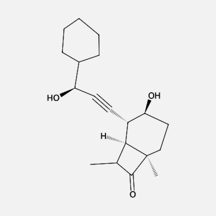 CC1C(=O)[C@]2(C)CC[C@H](O)[C@@H](C#C[C@@H](O)C3CCCCC3)[C@H]12